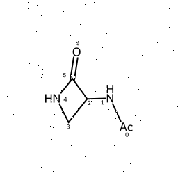 CC(=O)NC1CNC1=O